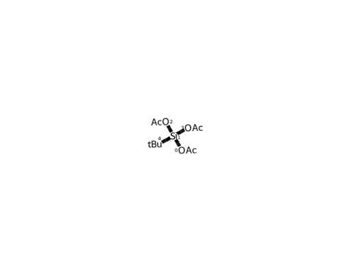 CC(=O)O[Si](OC(C)=O)(OC(C)=O)C(C)(C)C